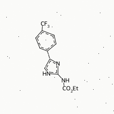 CCOC(=O)Nc1nc(-c2ccc(C(F)(F)F)cc2)c[nH]1